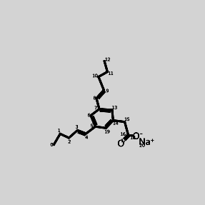 CCC/C=C/c1cc(/C=C/CCC)cc(CC(=O)[O-])c1.[Na+]